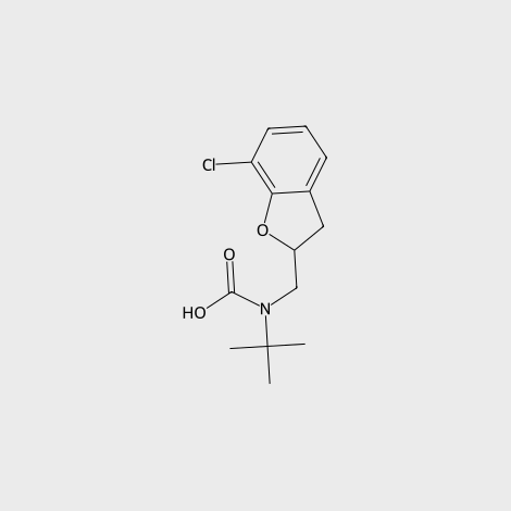 CC(C)(C)N(CC1Cc2cccc(Cl)c2O1)C(=O)O